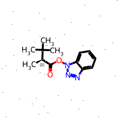 C[C@H](C(=O)On1nnc2ccccc21)C(C)(C)C